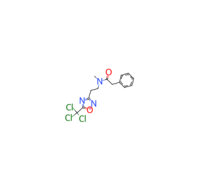 CN(CCc1noc(C(Cl)(Cl)Cl)n1)C(=O)Cc1ccccc1